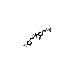 COC1CCN(CCOC(C)(C)C2CN(CCOC(C)C)CC2F)C1